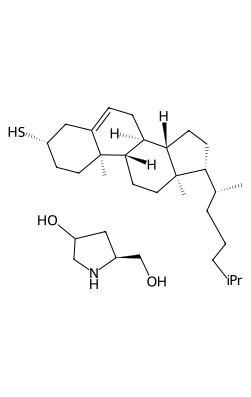 CC(C)CCC[C@@H](C)[C@H]1CC[C@H]2[C@@H]3CC=C4C[C@@H](S)CC[C@]4(C)[C@H]3CC[C@]12C.OC[C@@H]1CC(O)CN1